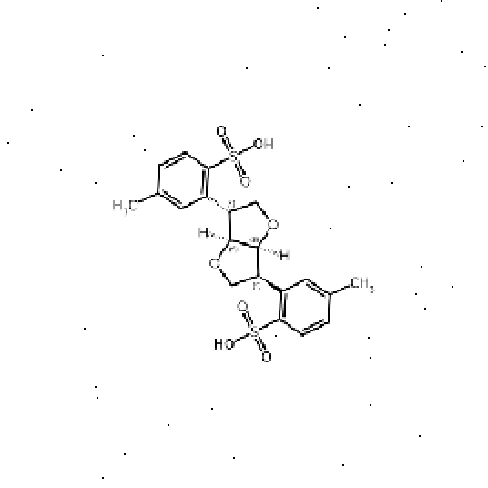 Cc1ccc(S(=O)(=O)O)c([C@H]2CO[C@@H]3[C@H]2OC[C@H]3c2cc(C)ccc2S(=O)(=O)O)c1